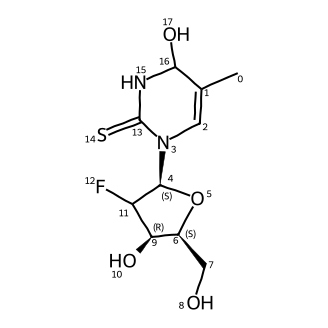 CC1=CN([C@H]2O[C@@H](CO)[C@@H](O)C2F)C(=S)NC1O